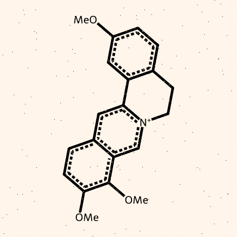 COc1ccc2c(c1)-c1cc3ccc(OC)c(OC)c3c[n+]1CC2